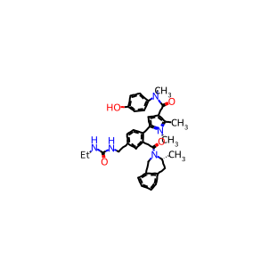 CCNC(=O)NCc1ccc(-c2cc(C(=O)N(C)c3ccc(O)cc3)c(C)n2C)c(C(=O)N2Cc3ccccc3C[C@H]2C)c1